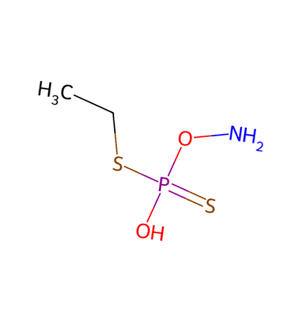 CCSP(O)(=S)ON